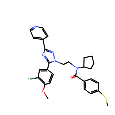 COc1ccc(-c2nc(-c3ccncc3)nn2CCN(C(=O)c2ccc(SC)cc2)C2CCCC2)cc1Cl